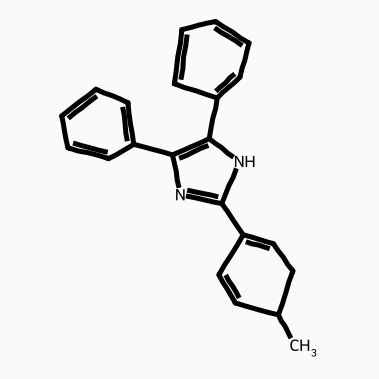 CC1C=CC(c2nc(-c3ccccc3)c(-c3ccccc3)[nH]2)=CC1